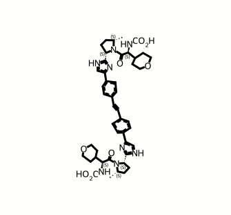 C[C@H]1CC[C@@H](c2nc(-c3ccc(C#Cc4ccc(-c5c[nH]c([C@@H]6CC[C@H](C)N6C(=O)[C@@H](NC(=O)O)C6CCOCC6)n5)cc4)cc3)c[nH]2)N1C(=O)[C@@H](NC(=O)O)C1CCOCC1